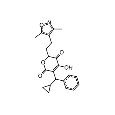 Cc1noc(C)c1CCC1OC(=O)C(C(c2ccccc2)C2CC2)=C(O)C1=O